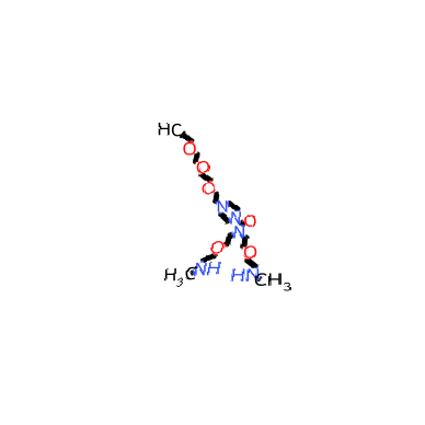 C#CCOCCOCCOCCN1CCN(C(=O)N(CCOCCNC)CCOCCNC)CC1